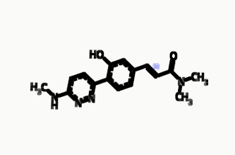 CNc1ccc(-c2ccc(/C=C/C(=O)N(C)C)cc2O)nn1